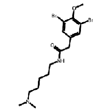 COc1c(Br)cc(CC(=O)NCCCCCN(C)C)cc1Br